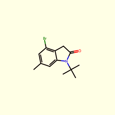 Cc1cc(Br)c2c(c1)N(C(C)(C)C)C(=O)C2